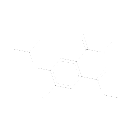 COC(=O)c1cc(Br)c(OC(C)C)cc1C(=O)OC